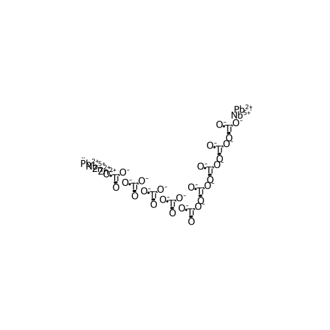 [Nb+5].[Nb+5].[O]=[Ti]([O-])[O-].[O]=[Ti]([O-])[O-].[O]=[Ti]([O-])[O-].[O]=[Ti]([O-])[O-].[O]=[Ti]([O-])[O-].[O]=[Ti]([O-])[O-].[O]=[Ti]([O-])[O-].[O]=[Ti]([O-])[O-].[O]=[Ti]([O-])[O-].[Pb+2].[Pb+2].[Zn+2].[Zn+2]